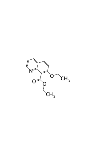 CCOC(=O)c1c(OCC)ccc2cccnc12